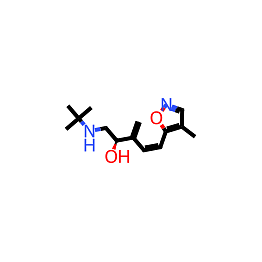 C=C(/C=C\c1oncc1C)[C@@H](O)CNC(C)(C)C